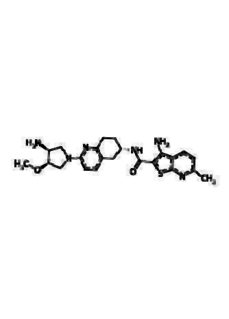 CO[C@@H]1CN(c2ccc3c(n2)CC[C@H](NC(=O)c2sc4nc(C)ccc4c2N)C3)C[C@@H]1N